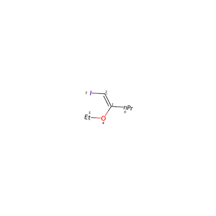 CCCC(=[C]I)OCC